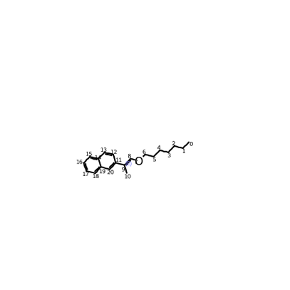 CCCCCCCO/C=C(\C)c1ccc2ccccc2c1